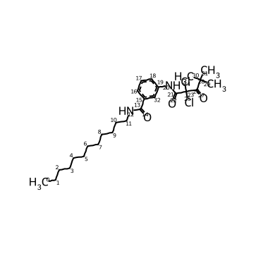 CCCCCCCCCCCCNC(=O)c1cccc(NC(=O)C(Cl)(Cl)C(=O)C(C)(C)C)c1